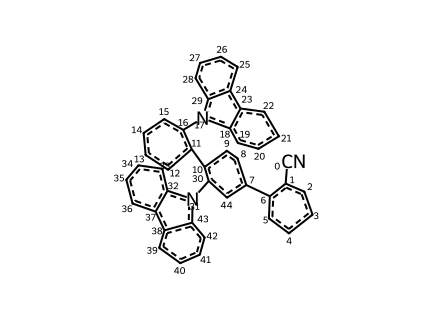 N#Cc1ccccc1-c1ccc(-c2ccccc2-n2c3ccccc3c3ccccc32)c(-n2c3ccccc3c3ccccc32)c1